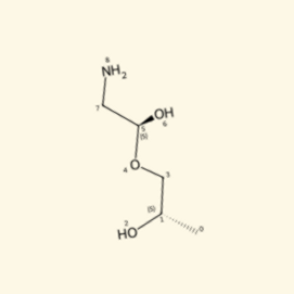 C[C@H](O)CO[C@H](O)CN